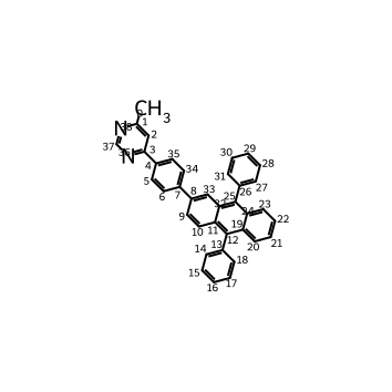 Cc1cc(-c2ccc(-c3ccc4c(-c5ccccc5)c5ccccc5c(-c5ccccc5)c4c3)cc2)ncn1